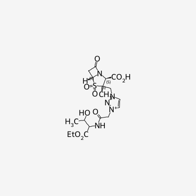 CCOC(=O)C(NC(=O)C[n+]1ccn(C[C@@]2(C)[C@H](C(=O)O)N3C(=O)C[C@H]3S2(=O)=O)n1)C(C)O